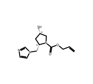 C=CCOC(=O)N1C[C@@H](S)C[C@H]1Cn1ccnc1